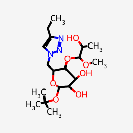 CCc1cn(CC2OC(OC(C)(C)C)C(O)C(O)C2OC(OC)C(C)O)nn1